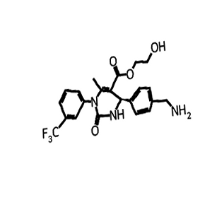 CC1=C(C(=O)OCCO)[C@@H](c2ccc(CN)cc2)NC(=O)N1c1cccc(C(F)(F)F)c1